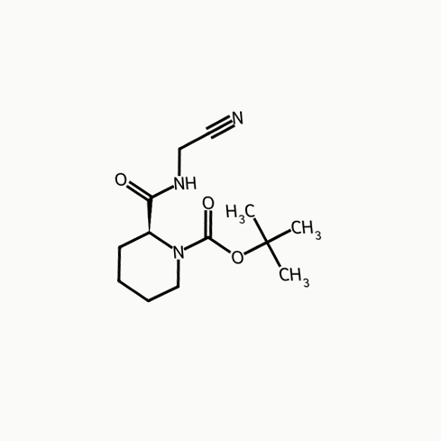 CC(C)(C)OC(=O)N1CCCC[C@H]1C(=O)NCC#N